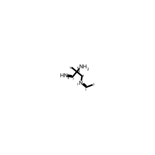 C/C=N\CC(C)(N)C=N